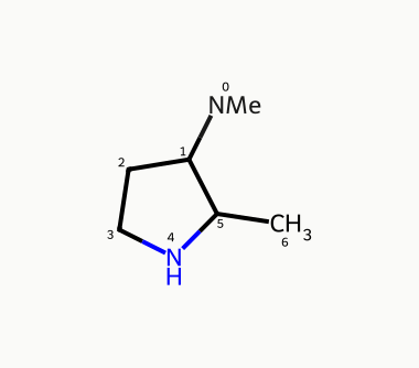 CNC1CCNC1C